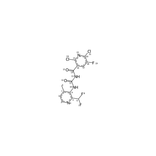 Cc1ccnc(C(F)F)c1NC(=O)NC(=O)c1cc(F)c(Cl)nc1Cl